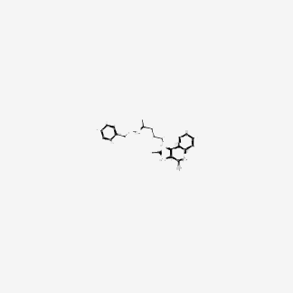 CC(CCCn1c(C)nc2c(N)nc3ccccc3c21)=NOCc1ccccc1